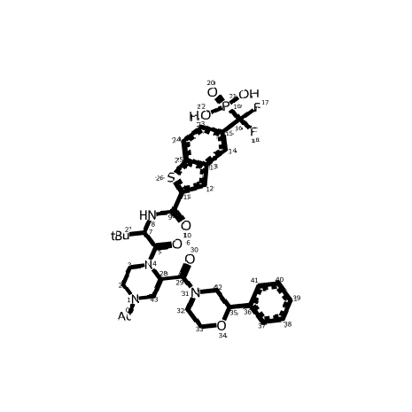 CC(=O)N1CCN(C(=O)C(NC(=O)c2cc3cc(C(F)(F)P(=O)(O)O)ccc3s2)C(C)(C)C)C(C(=O)N2CCOC(c3ccccc3)C2)C1